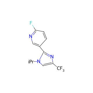 CC(C)n1cc(C(F)(F)F)nc1-c1ccc(F)nc1